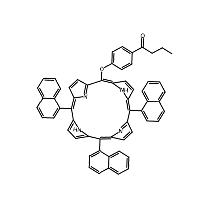 CCCC(=O)c1ccc(Oc2c3nc(c(-c4cccc5ccccc45)c4ccc([nH]4)c(-c4cccc5ccccc45)c4nc(c(-c5cccc6ccccc56)c5ccc2[nH]5)C=C4)C=C3)cc1